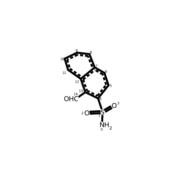 NS(=O)(=O)c1ccc2ccccc2c1C=O